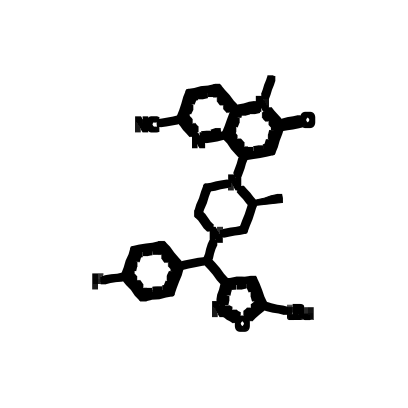 C[C@H]1CN(C(c2ccc(F)cc2)c2cc(C(C)(C)C)on2)CCN1c1cc(=O)n(C)c2ccc(C#N)nc12